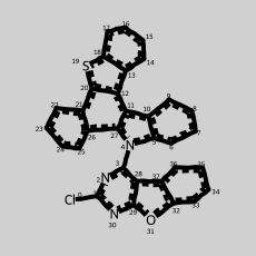 Clc1nc(-n2c3ccccc3c3c4c5ccccc5sc4c4ccccc4c32)c2c(n1)oc1ccccc12